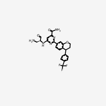 NC[C@@H](C=O)Nc1cc(C(N)=O)nc(-c2ccc3c(c2)OCCC3c2ccc(C(F)(F)F)cc2)n1